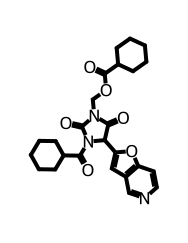 O=C(OCN1C(=O)C(c2cc3cnccc3o2)N(C(=O)C2CCCCC2)C1=O)C1CCCCC1